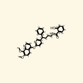 COc1ccc2c(Oc3ccc(C(CCCNC(=O)c4ccccc4O)c4ccccc4)cn3)ccnc2c1OC